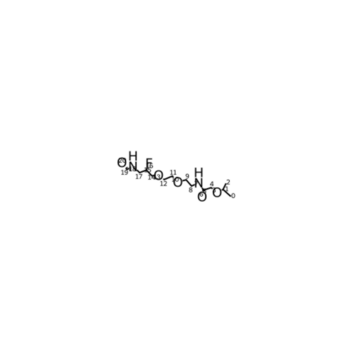 CC(C)OCC(=O)NCCOCCOCC(F)CNC=O